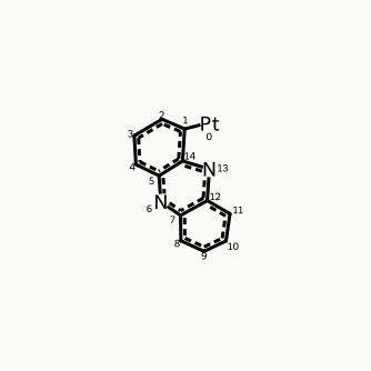 [Pt][c]1cccc2nc3ccccc3nc12